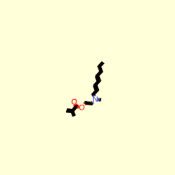 C=C(C)C(=O)OCCN(C)CC=CC=CCCC